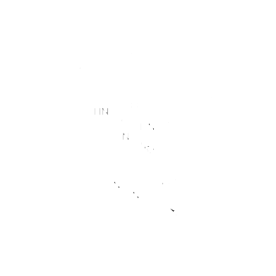 C[C@H]1Cn2ncc(S(=O)(=NC(=O)Nc3c4c(cc5c3CCC5)CCC4)NC(c3ccccc3)(c3ccccc3)c3ccccc3)c2O1